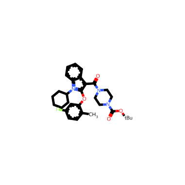 Cc1ccc(F)cc1Oc1c(C(=O)N2CCN(C(=O)OC(C)(C)C)CC2)c2ccccc2n1C1CCCCC1